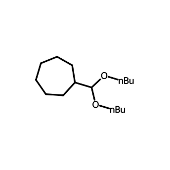 CCCCOC(OCCCC)C1CCCCCC1